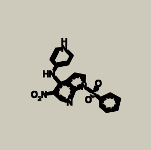 O=[N+]([O-])c1cnc2c(ccn2S(=O)(=O)c2ccccc2)c1NC1=CCNC=C1